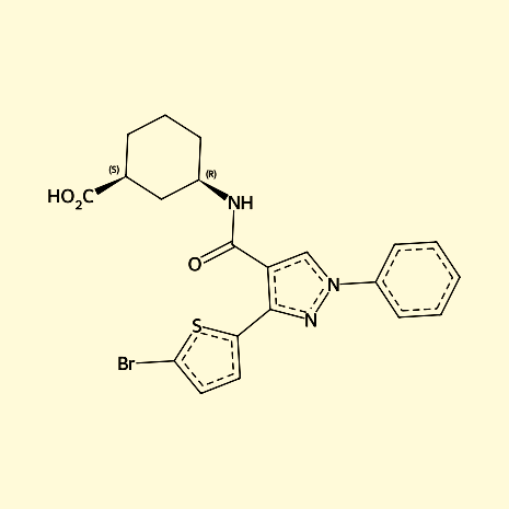 O=C(N[C@@H]1CCC[C@H](C(=O)O)C1)c1cn(-c2ccccc2)nc1-c1ccc(Br)s1